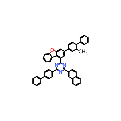 CC1C=C(c2cc(-c3nc(-c4ccc(-c5ccccc5)cc4)nc(-c4ccc5ccccc5c4)n3)c3c(c2)oc2ccccc23)C=CC1c1ccccc1